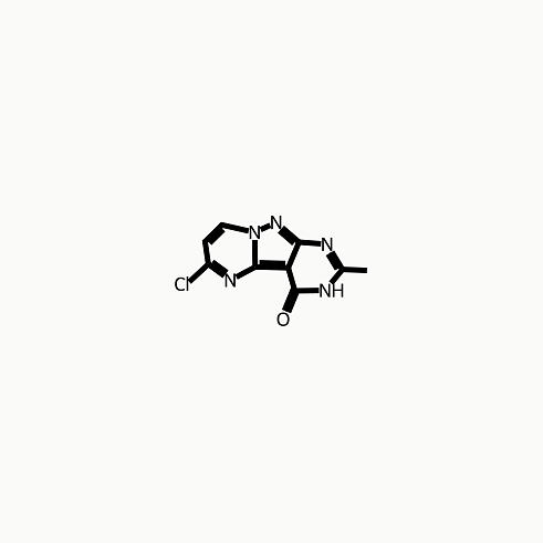 Cc1nc2nn3ccc(Cl)nc3c2c(=O)[nH]1